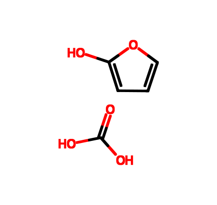 O=C(O)O.Oc1ccco1